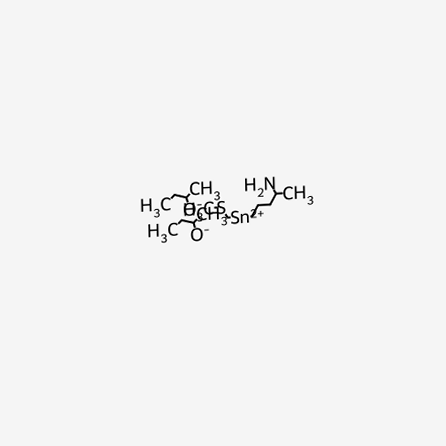 CCC(C)[O-].CCC(C)[O-].CS[CH2][Sn+2][CH2]CCC(C)N